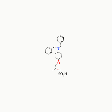 CC(CO[C@H]1CC[C@H](N(Cc2ccccc2)Cc2ccccc2)CC1)OS(=O)(=O)O